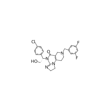 O=C1C2=C(CCN(Cc3cc(F)cc(F)c3)C2)N2CCN=C2N1[C@H](CO)c1ccc(Cl)cc1